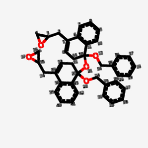 C1=C(CC2CO2)c2ccccc2C(OCc2ccccc2)(OC2(OCc3ccccc3)CC=C(CC3CO3)c3ccccc32)C1